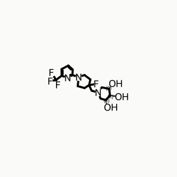 O[C@H]1[C@H](O)CN(CC2(F)CCN(c3cccc(C(F)(F)F)n3)CC2)C[C@@H]1O